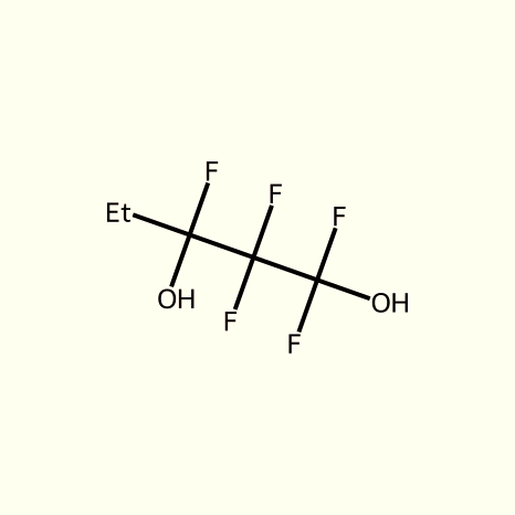 CCC(O)(F)C(F)(F)C(O)(F)F